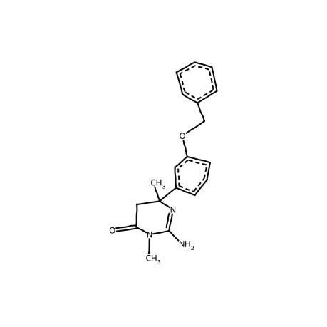 CN1C(=O)CC(C)(c2cccc(OCc3ccccc3)c2)N=C1N